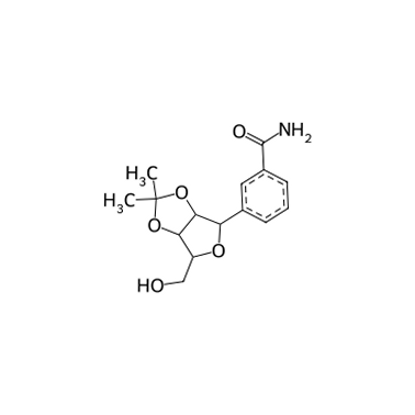 CC1(C)OC2C(CO)OC(c3cccc(C(N)=O)c3)C2O1